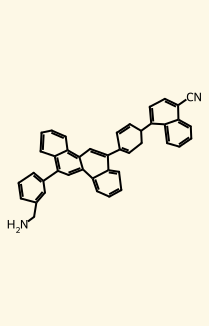 N#Cc1ccc(C2C=CC(c3cc4c5ccccc5c(-c5cccc(CN)c5)cc4c4ccccc34)=CC2)c2ccccc12